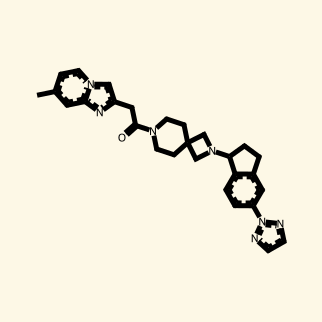 Cc1ccn2cc(CC(=O)N3CCC4(CC3)CN(C3CCc5cc(-n6nccn6)ccc53)C4)nc2c1